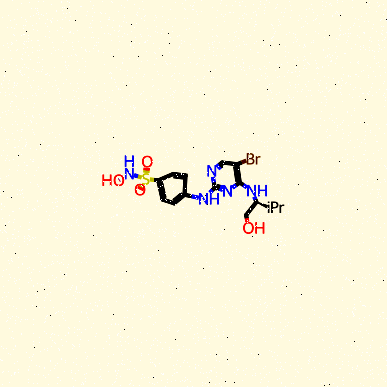 CC(C)[C@@H](CO)Nc1nc(Nc2ccc(S(=O)(=O)NO)cc2)ncc1Br